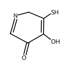 O=C1C=NCC(S)=C1O